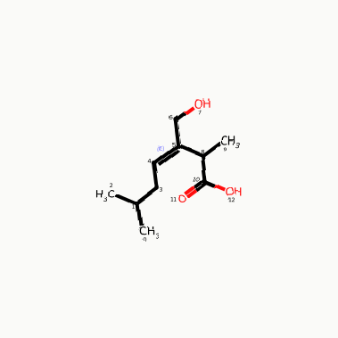 CC(C)C/C=C(/CO)C(C)C(=O)O